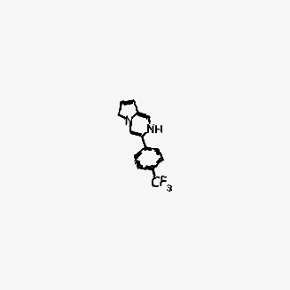 FC(F)(F)c1ccc(C2=CN3CC=CC3=CN2)cc1